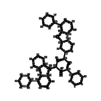 c1ccc(C2=NC(c3ccc4c(c3)oc3c(-c5ccccc5)cccc34)=NC(n3c4ccccc4c4c(-c5ccccc5)cccc43)N2)cc1